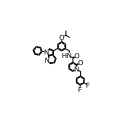 CC(C)Oc1cc(CNC(=O)c2cccn(Cc3ccc(F)c(F)c3)c2=O)cc(-c2cn(-c3ccccc3)c3ncccc23)c1